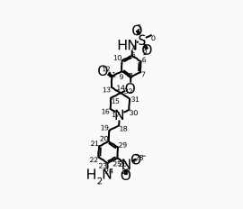 CS(=O)(=O)Nc1ccc2c(c1)C(=O)CC1(CCN(CCc3ccc(N)c([N+](=O)[O-])c3)CC1)O2